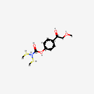 COCC(=O)c1ccc(OC(=O)N(SC)SC)cc1